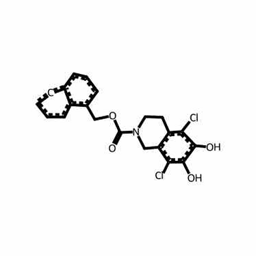 O=C(OCc1cccc2ccccc12)N1CCc2c(Cl)c(O)c(O)c(Cl)c2C1